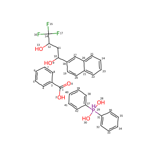 O=C(O)c1ccccc1.OC(CC(O)C(F)(F)F)c1ccc2ccccc2c1.O[PH](O)(c1ccccc1)c1ccccc1